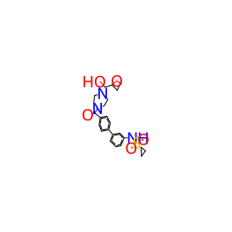 O=C(c1ccc(-c2cccc(NS(=O)(=O)C3CC3)c2)cc1)N1CCN(C(O)C2CCO2)CC1